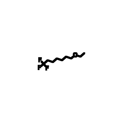 CCOCCCCCCC(F)(F)F